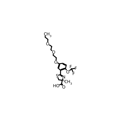 CCCOCCOCCOc1ccc(OC(F)(F)F)c(C2=N[C@@](C)(C(=O)O)CS2)c1